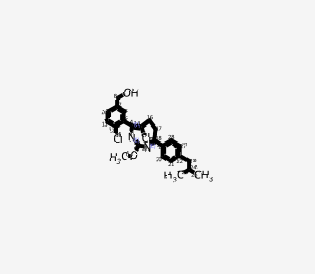 COC1=N/C(c2cc(CO)ccc2Cl)=C(\C)CC/C(c2ccc(CC(C)C)cc2)=N\1